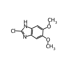 COc1cc2nc(Cl)[nH]c2cc1OC